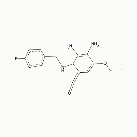 CCOC1=CC(=C=O)C(NCc2ccc(F)cc2)C(N)=C1N